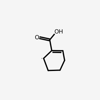 O=C(O)C1=CCCC[CH]1